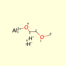 COCC[O][Al+2].[H-].[H-]